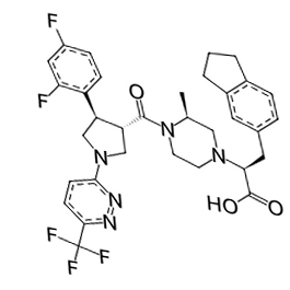 C[C@H]1CN([C@@H](Cc2ccc3c(c2)CCC3)C(=O)O)CCN1C(=O)[C@@H]1CN(c2ccc(C(F)(F)F)nn2)C[C@H]1c1ccc(F)cc1F